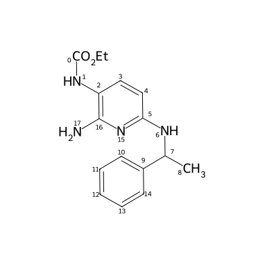 CCOC(=O)Nc1ccc(NC(C)c2ccccc2)nc1N